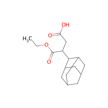 CCOC(=O)C(CC(=O)O)C1C2CC3CC(C2)CC1C3